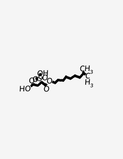 CC(C)CCCCCCCOC(=O)C(CC(=O)O)S(=O)(=O)O